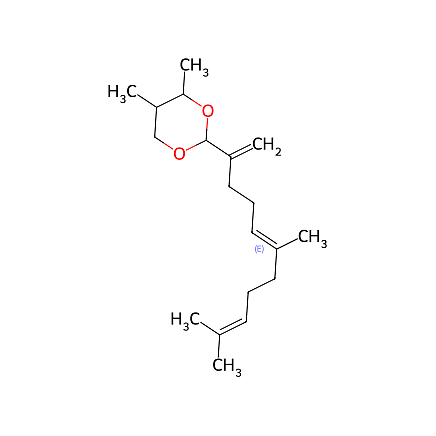 C=C(CC/C=C(\C)CCC=C(C)C)C1OCC(C)C(C)O1